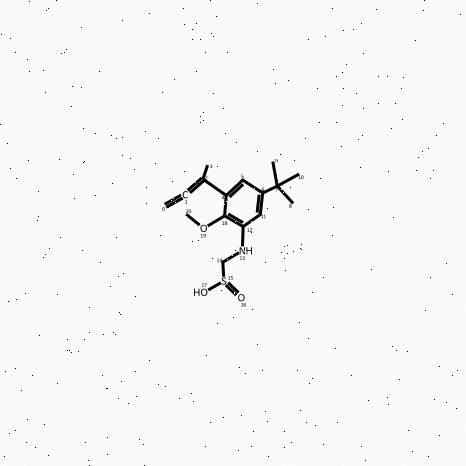 C=C=C(C)c1cc(C(C)(C)C)cc(NCS(=O)O)c1OC